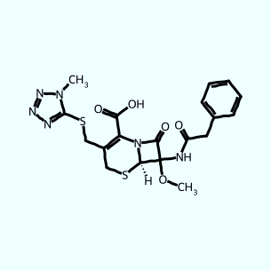 COC1(NC(=O)Cc2ccccc2)C(=O)N2C(C(=O)O)=C(CSc3nnnn3C)CS[C@@H]21